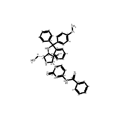 COc1ccc(C(N[C@H]2[C@@H](F)[C@H](n3ccc(NC(=O)c4ccccc4)nc3=O)O[C@@H]2CO)(c2ccccc2)c2ccccc2)cc1